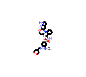 O=C(NS(=O)(=O)c1ccc(NCC2CCOCC2)c([N+](=O)[O-])c1)c1ccccc1N1CCCOc2nc3[nH]ccc3cc21